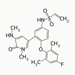 C=CS(=O)(=O)Nc1ccc(Oc2c(C)cc(F)cc2C)c(-c2cc(NC)c(=O)n(C)c2)c1